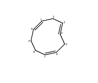 [C]1=C\C/C=C/C/C=C\CC/1